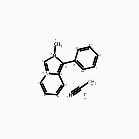 CC#N.Cn1c[n+]2ccccc2c1-c1ccccc1.[I-]